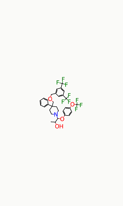 CC(O)C(Oc1ccc(OC(F)(F)F)cc1)N1CCC(COCc2cc(C(F)(F)F)cc(C(F)(F)F)c2)(c2ccccc2)CC1